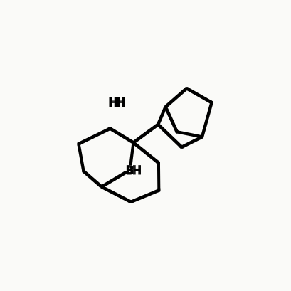 B1C2CCCC1(C1CC3CCC1C3)CCC2.[HH]